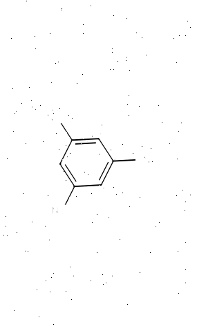 N#Cc1[c]c(C#N)cc(C#N)c1